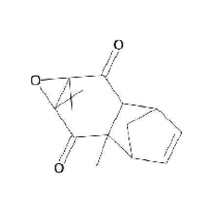 CC12C(=O)C3(C)OC3(C)C(=O)C1C1C=CC2C1